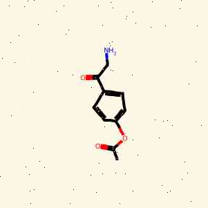 CC(=O)Oc1ccc(C(=O)CN)cc1